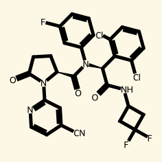 N#Cc1ccnc(N2C(=O)CC[C@H]2C(=O)N(c2cccc(F)c2)[C@H](C(=O)NC2CC(F)(F)C2)c2c(Cl)cccc2Cl)c1